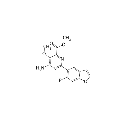 COC(=O)c1nc(-c2cc3ccoc3cc2F)nc(N)c1OC